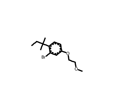 CCC(C)(C)c1ccc(OCCOC)cc1Br